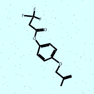 C=C(C)COc1ccc(OC(=O)CC(F)(F)F)cc1